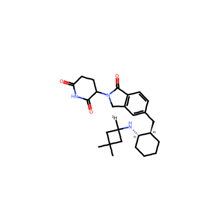 [2H]C1(N[C@H]2CCCC[C@@H]2Cc2ccc3c(c2)CN(C2CCC(=O)NC2=O)C3=O)CC(C)(C)C1